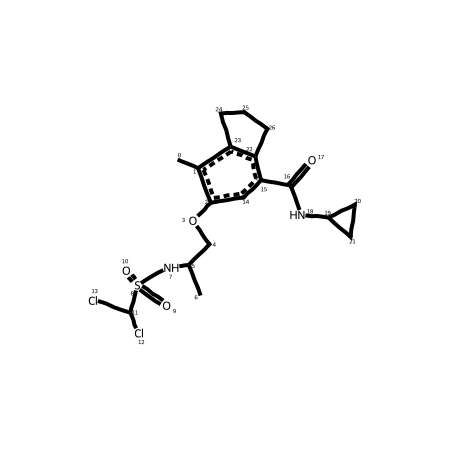 Cc1c(OCC(C)NS(=O)(=O)C(Cl)Cl)cc(C(=O)NC2CC2)c2c1CCC2